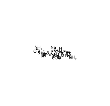 NC(=O)CSc1nnc(SCC2=C(C(=O)[O-])N3C(=O)C(NC(=O)Cc4csc(N)n4)[C@@H]3SC2)s1.[Na+]